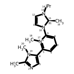 Cc1ncc(-c2cccc(N3C=CN(C(C)C)[C@H]3C)[n+]2C)n1C